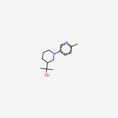 Cc1ccc(N2CCCC(C(C)(C)O)C2)cn1